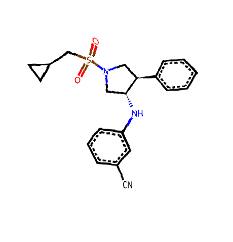 N#Cc1cccc(N[C@@H]2CN(S(=O)(=O)CC3CC3)C[C@H]2c2ccccc2)c1